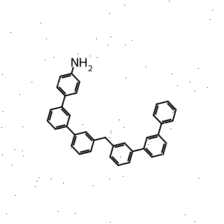 Nc1ccc(-c2cccc(-c3cccc(Cc4cccc(-c5cccc(-c6ccccc6)c5)c4)c3)c2)cc1